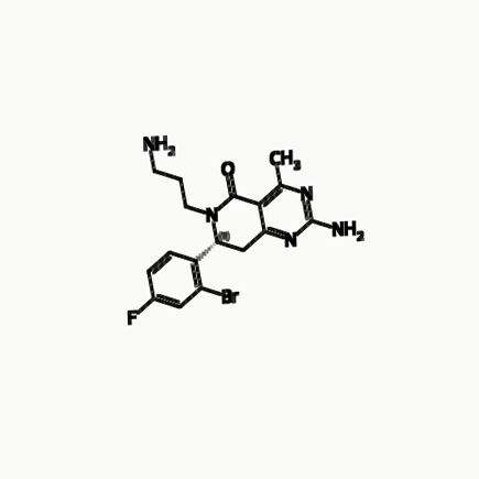 Cc1nc(N)nc2c1C(=O)N(CCCN)[C@@H](c1ccc(F)cc1Br)C2